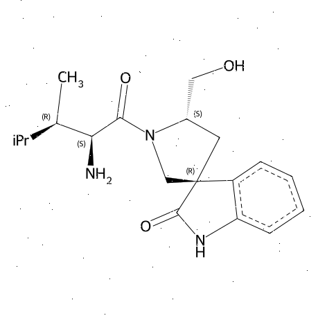 CC(C)[C@@H](C)[C@H](N)C(=O)N1C[C@]2(C[C@H]1CO)C(=O)Nc1ccccc12